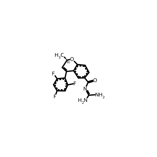 C[C@@H]1C=C(c2c(F)cc(F)cc2F)c2cc(C(=O)N=C(N)N)ccc2O1